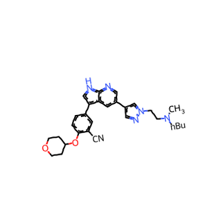 CCCCN(C)CCn1cc(-c2cnc3[nH]cc(-c4ccc(OC5CCOCC5)c(C#N)c4)c3c2)cn1